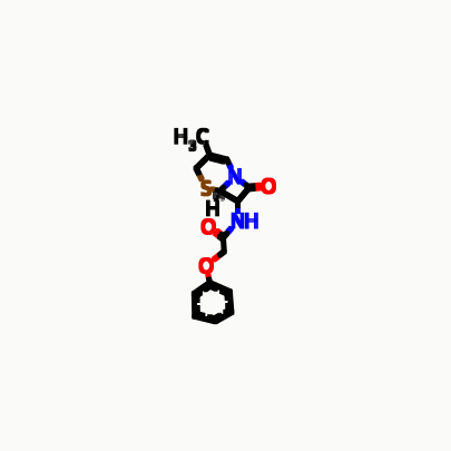 CC1=CN2C(=O)C(NC(=O)COc3ccccc3)[C@H]2SC1